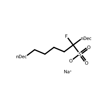 CCCCCCCCCCCCCCC(F)(CCCCCCCCCC)S(=O)(=O)[O-].[Na+]